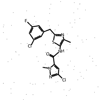 Cc1nc(Cc2cc(F)cc(Cl)c2)sc1NC(=O)c1cc(Cl)nn1C